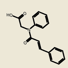 O=C(O)CN(C(=O)/C=C/c1ccccc1)c1ccccc1